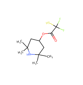 CC1(C)CC(OC(=O)C(F)(F)S)CC(C)(C)N1